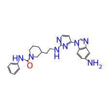 Nc1ccc2c(c1)ncn2-c1ccnc(NCCC2CCCN(C(=O)Nc3ccccc3)C2)n1